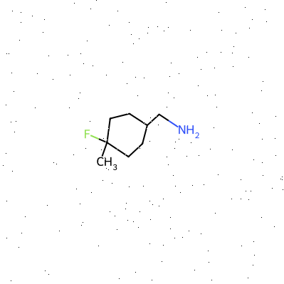 CC1(F)CCC(CN)CC1